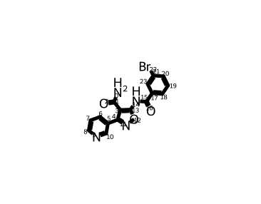 NC(=O)c1c(-c2cccnc2)noc1NC(=O)c1cccc(Br)c1